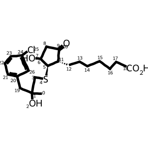 CC(O)(CS[C@H]1C(O)CC(=O)[C@@H]1CCCCCCC(=O)O)Cc1cccc(Cl)c1